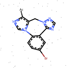 CC(=O)c1ncn2c1Cn1ncnc1-c1cc(Br)ccc1-2